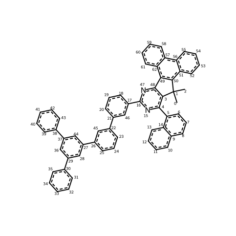 CC1(C)c2c(-c3cccc4ccccc34)nc(-c3cccc(-c4cccc(-c5cc(-c6ccccc6)cc(-c6ccccc6)c5)c4)c3)nc2-c2c1c1ccccc1c1ccccc21